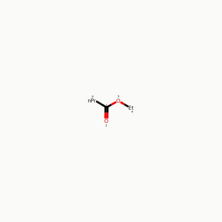 C[C]CC(=O)OCC